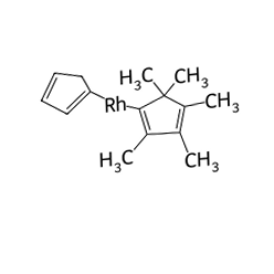 CC1=C(C)C(C)(C)[C]([Rh][C]2=CC=CC2)=C1C